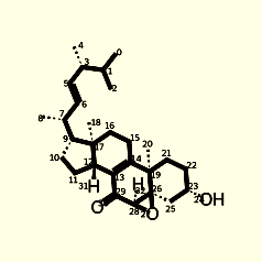 CC(C)[C@@H](C)C=C[C@@H](C)[C@H]1CC[C@H]2C3=C(CC[C@]12C)[C@@]1(C)CC[C@H](O)C[C@@]12O[C@H]2C3=O